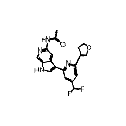 CC(=O)Nc1cc2c(-c3cc(C(F)F)cc(C4CCOC4)n3)c[nH]c2cn1